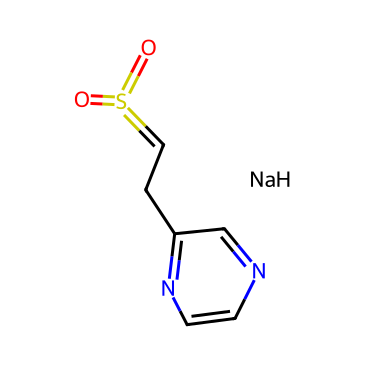 O=S(=O)=CCc1cnccn1.[NaH]